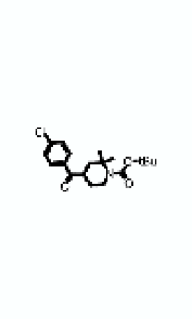 CC(C)(C)OC(=O)N1CCC(C(=O)c2ccc(Cl)cc2)CC1(C)C